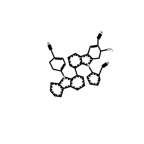 CC1Cc2c(c3cccc(-c4cccc5c6ccccc6n(C6=CC=C(C#N)CC6)c45)c3n2-c2ccccc2C#N)C=C1C#N